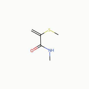 C=C(SC)C(=O)NC